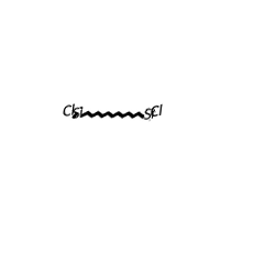 C[Si](C)(Cl)CCCCCCCCCCCCC[Si](C)(C)Cl